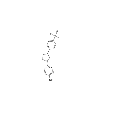 Nc1ccc(N2CCC(c3ccc(C(F)(F)F)cc3)C2)cn1